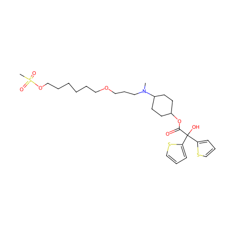 CN(CCCOCCCCCCOS(C)(=O)=O)C1CCC(OC(=O)C(O)(c2cccs2)c2cccs2)CC1